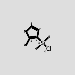 CC1=C([Si](C)(C)Cl)C=CC1